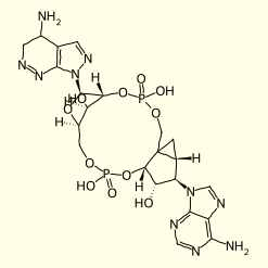 Nc1ncnc2c1ncn2[C@H]1[C@H](O)[C@@H]2OP(=O)(O)OC[C@H]3O[C@@H](n4ncc5c4N=NCC5N)[C@H](OP(=O)(O)OCC24C[C@H]14)[C@@H]3O